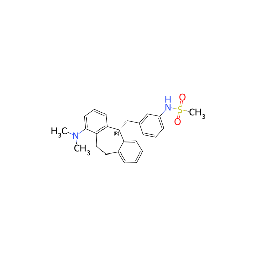 CN(C)c1cccc2c1CCc1ccccc1[C@H]2Cc1cccc(NS(C)(=O)=O)c1